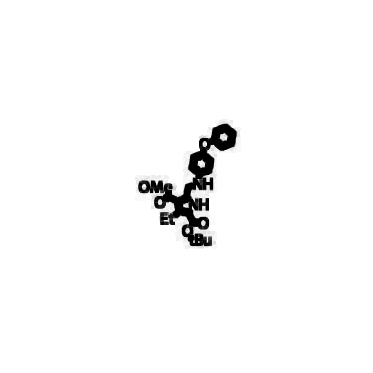 CCc1c(C(=O)OC(C)(C)C)[nH]c(CNc2ccc(Oc3ccccc3)cc2)c1C(=O)OC